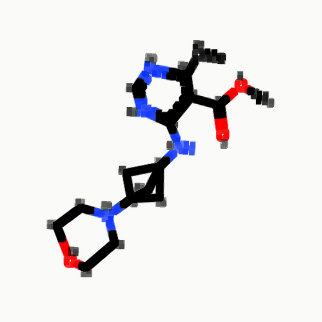 [2H]OC(=O)c1c(NC23CC(N4CCOCC4)(C2)C3)ncnc1OC